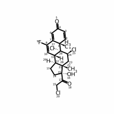 C[C@]12C=CC(=O)C=C1C(F)=C[C@H]1[C@@H]3CC[C@](O)(C(=O)CCl)[C@@]3(C)C[C@H](Cl)[C@@]12Cl